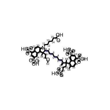 C=C(/C=C/C=C/C=C/C=C1/N(CCCCCC(=O)O)c2ccc3c(S(=O)(=O)O)cc(S(=O)(=O)O)cc3c2C1(C)CCOC)C(C)(CCCS(=O)(=O)O)c1c(C)ccc2c(S(=O)(=O)O)cc(S(=O)(=O)O)cc12